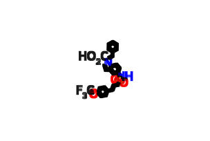 O=C(O)C(Cc1ccccc1)n1ccc2cc(NS(=O)(=O)CC=Cc3ccc(OC(F)(F)F)cc3)ccc21